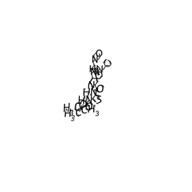 CC(C)(C)OC(=O)Nc1cscc1NC(=O)c1ccc(CN(CCCN2CCOCC2)C(=O)NCc2ccccc2)cn1